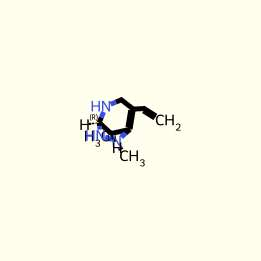 C=CC1=C2[C@H](C)[C@H](NC1)NN2C